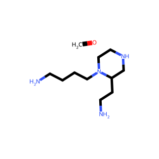 C=O.NCCCCN1CCNCC1CCN